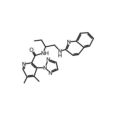 CCC(CNc1ccc2ccccc2n1)NC(=O)c1ncc(C)c(C)c1-n1nccn1